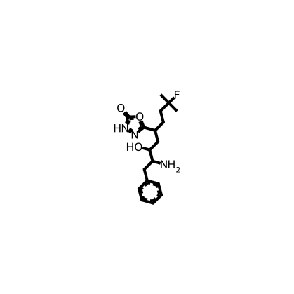 CC(C)(F)CCC(CC(O)C(N)Cc1ccccc1)c1n[nH]c(=O)o1